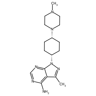 Cc1nn([C@H]2CC[C@@H](N3CCN(C)CC3)CC2)c2ncnc(N)c12